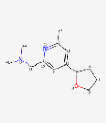 Cc1cc(C2CCCO2)cc(CN(C)C)n1